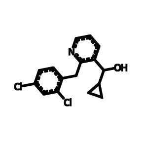 OC(c1cccnc1Cc1ccc(Cl)cc1Cl)C1CC1